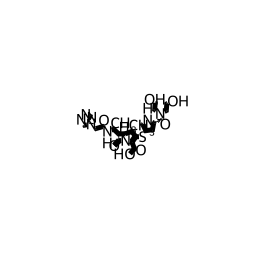 C[C@@H](NC(=O)Cn1cnnn1)[C@H]1C(=O)N2C(C(=O)O)=C(S[C@@H]3CN[C@H](C(=O)N(CCO)CCO)C3)[C@H](C)[C@H]12